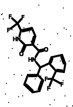 O=C(NC(c1ccccc1)c1ccccc1C(F)(F)F)c1ccc(C(F)(F)F)[nH]c1=O